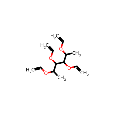 C=COC(C)C(OC=C)C(OC=C)C(C)OC=C